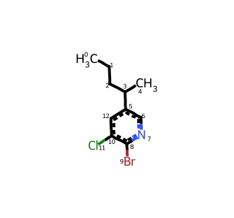 CCCC(C)c1cnc(Br)c(Cl)c1